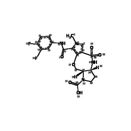 Cn1cc2c(c1C(=O)Nc1ccc(F)c(F)c1)OC[C@@H]1[C@@H](CCN1C(=O)O)NS2(=O)=O